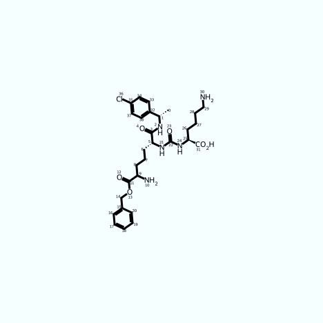 C[C@H](NC(=O)[C@@H](CCCC(N)C(=O)OCc1ccccc1)NC(=O)N[C@@H](CCCCN)C(=O)O)c1ccc(Cl)cc1